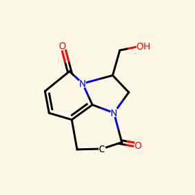 O=C1CCc2ccc(=O)n3c2N1CC3CO